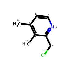 Cc1ccnc(CCl)c1C